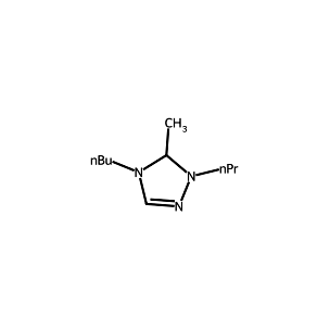 CCCCN1C=NN(CCC)C1C